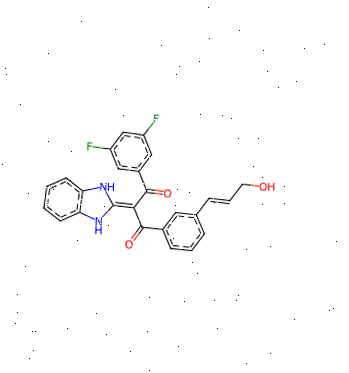 O=C(C(C(=O)c1cccc(C=CCO)c1)=C1Nc2ccccc2N1)c1cc(F)cc(F)c1